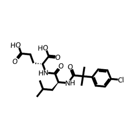 CC(C)C[C@H](NC(=O)C(C)(C)c1ccc(Cl)cc1)C(=O)N[C@H](CCC(=O)O)C(=O)O